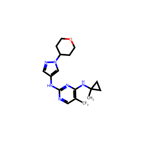 CC1(Nc2nc(Nc3cnn(C4CCOCC4)c3)ncc2C(F)(F)F)CC1